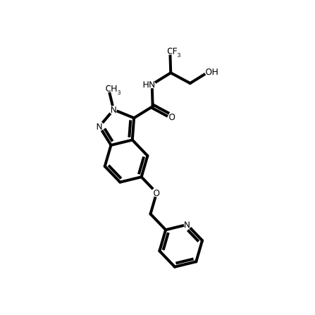 Cn1nc2ccc(OCc3ccccn3)cc2c1C(=O)NC(CO)C(F)(F)F